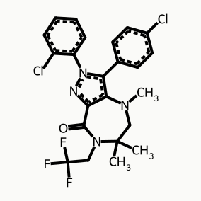 CN1CC(C)(C)N(CC(F)(F)F)C(=O)c2nn(-c3ccccc3Cl)c(-c3ccc(Cl)cc3)c21